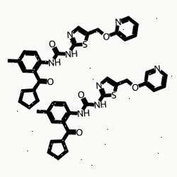 Cc1ccc(NC(=O)Nc2ncc(COc3ccccn3)s2)c(C(=O)C2CCCC2)c1.Cc1ccc(NC(=O)Nc2ncc(COc3cccnc3)s2)c(C(=O)C2CCCC2)c1